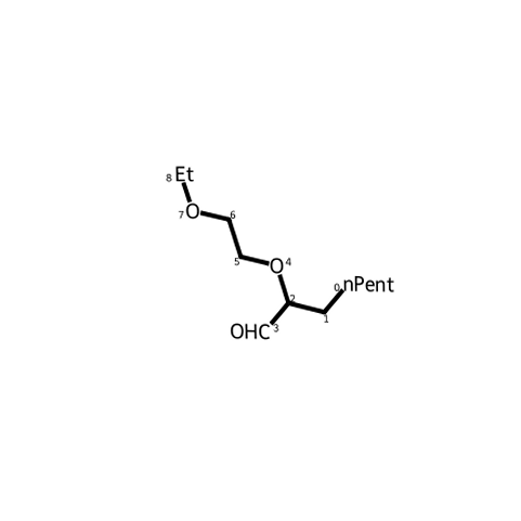 CCCCCCC(C=O)OCCOCC